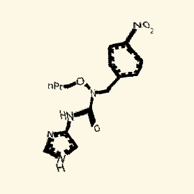 CCCON(Cc1ccc([N+](=O)[O-])cc1)C(=O)Nc1c[nH]cn1